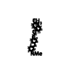 CNc1cccc(CC2CCN(CCOc3cccc4nc(C)ccc34)CC2)c1